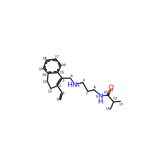 C=CC1=C(CNCCCNC(=O)C(C)C)c2ccccc2CC1